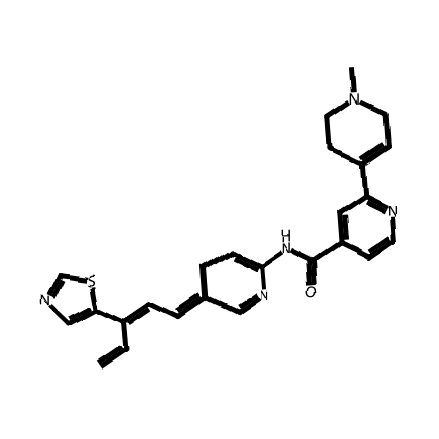 C=C/C(=C\C=C1\C=NC(NC(=O)c2ccnc(C3=CCN(C)CC3)c2)=CC1)c1cncs1